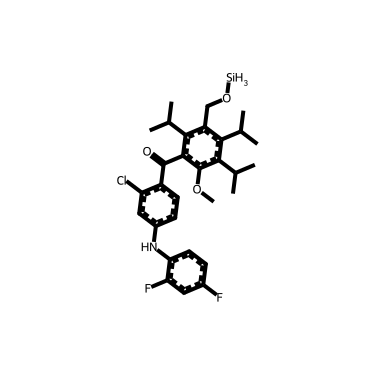 COc1c(C(=O)c2ccc(Nc3ccc(F)cc3F)cc2Cl)c(C(C)C)c(CO[SiH3])c(C(C)C)c1C(C)C